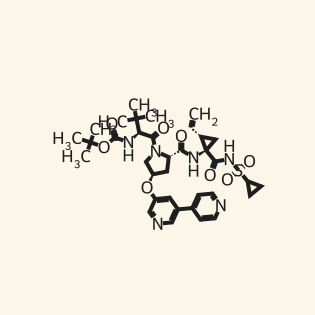 C=C[C@@H]1C[C@]1(NC(=O)[C@@H]1C[C@@H](Oc2cncc(-c3ccncc3)c2)CN1C(=O)[C@@H](NC(=O)OC(C)(C)C)C(C)(C)C)C(=O)NS(=O)(=O)C1CC1